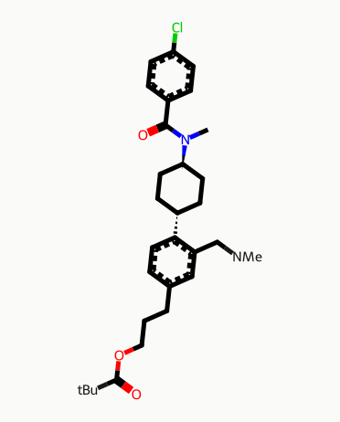 CNCc1cc(CCCOC(=O)C(C)(C)C)ccc1[C@H]1CC[C@H](N(C)C(=O)c2ccc(Cl)cc2)CC1